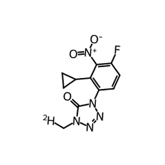 [2H]Cn1nnn(-c2ccc(F)c([N+](=O)[O-])c2C2CC2)c1=O